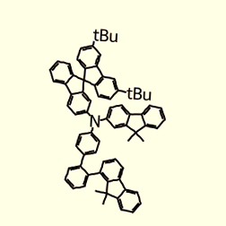 CC(C)(C)c1ccc2c(c1)-c1cc(C(C)(C)C)ccc1C21c2ccccc2-c2ccc(N(c3ccc(-c4ccccc4-c4cccc5c4C(C)(C)c4ccccc4-5)cc3)c3ccc4c(c3)C(C)(C)c3ccccc3-4)cc21